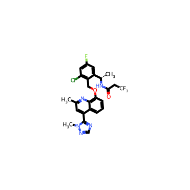 Cc1cc(-c2ncnn2C)c2cccc(OCc3c(Cl)cc(F)cc3[C@H](C)NC(=O)CC(F)(F)F)c2n1